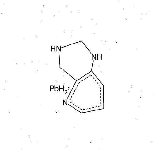 [PbH2].c1cnc2c(c1)NCNC2